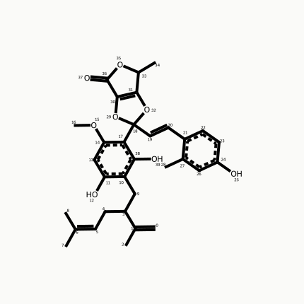 C=C(C)C(CC=C(C)C)Cc1c(O)cc(OC)c(C2(/C=C/c3ccc(O)cc3C)OC3=C(O2)C(C)OC3=O)c1O